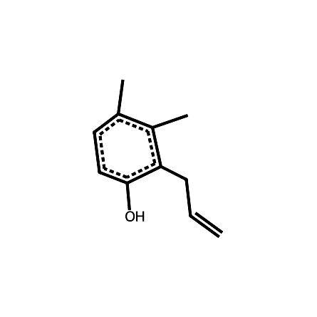 C=CCc1c(O)ccc(C)c1C